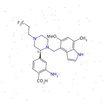 COc1cc(C)c2[nH]ccc2c1CN1CCN(CCC(F)(F)F)C[C@@H]1c1ccc(C(=O)O)c(N)c1